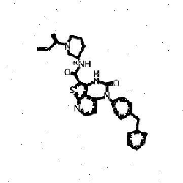 C=CC(=C)N1CCC[C@@H](NC(=O)c2sc3nccc4c3c2NC(=O)N4c2ccc(Cc3ccccc3)cc2)C1